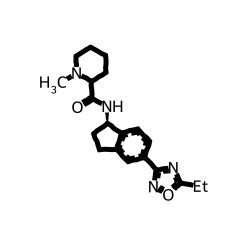 CCc1nc(-c2ccc3c(c2)CC[C@H]3NC(=O)C2CCCCN2C)no1